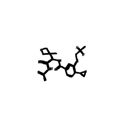 CC(=O)NC(=N)C(NC(=O)c1ccc(C2CC2)c(OCC(C)(F)F)c1)C1(C)COC1